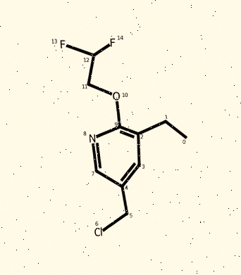 CCc1cc(CCl)cnc1OCC(F)F